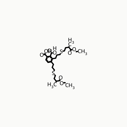 CCOC(=O)C(C)CCSCCCc1ccc(C(=O)O)c(C(=O)O)c1CCCSCCC(C)C(=O)OCC